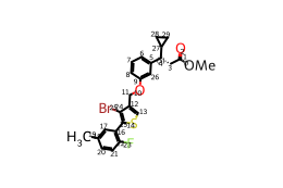 COC(=O)C[C@H](c1cccc(OCc2csc(-c3cc(C)ccc3F)c2Br)c1)C1CC1